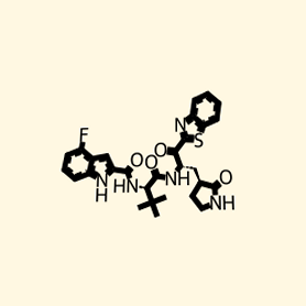 CC(C)(C)[C@H](NC(=O)c1cc2c(F)cccc2[nH]1)C(=O)N[C@@H](C[C@@H]1CCNC1=O)C(=O)c1nc2ccccc2s1